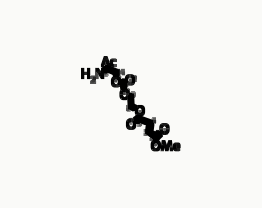 COC(=O)/C=C/C(=O)OCCOC(=O)OC[C@H](N)C(C)=O